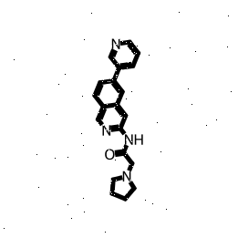 O=C(CN1CCCC1)Nc1cc2cc(-c3cccnc3)ccc2cn1